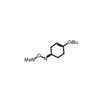 CNO/N=C1\CC=C(OCC(C)C)CC1